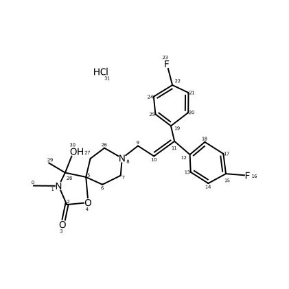 CN1C(=O)OC2(CCN(CC=C(c3ccc(F)cc3)c3ccc(F)cc3)CC2)C1(C)O.Cl